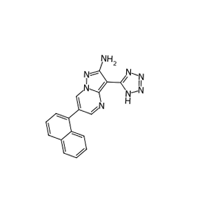 Nc1nn2cc(-c3cccc4ccccc34)cnc2c1-c1nnn[nH]1